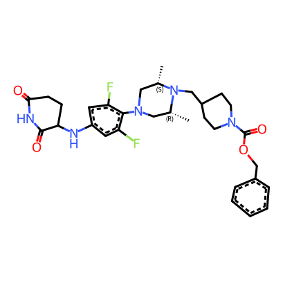 C[C@@H]1CN(c2c(F)cc(NC3CCC(=O)NC3=O)cc2F)C[C@H](C)N1CC1CCN(C(=O)OCc2ccccc2)CC1